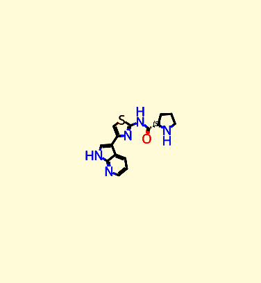 O=C(Nc1nc(-c2c[nH]c3ncccc23)cs1)[C@@H]1CCCN1